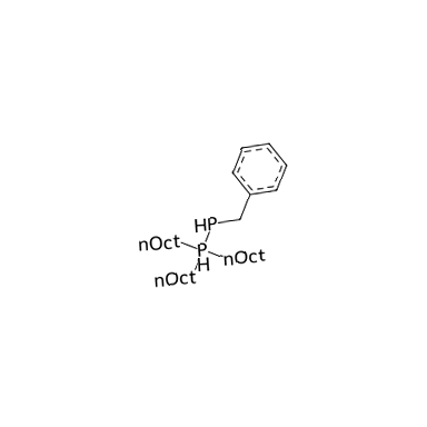 CCCCCCCC[PH](CCCCCCCC)(CCCCCCCC)PCc1ccccc1